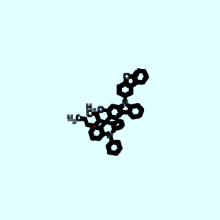 C=C/C=C\C1=C(C)Oc2cc3c(cc2C12c1ccccc1N(c1ccccc1)c1ccccc12)c1ccccc1n3-c1ccc2oc3ccccc3c2c1